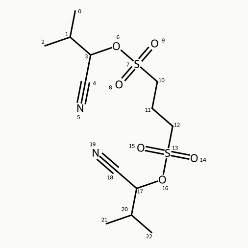 CC(C)C(C#N)OS(=O)(=O)CCCS(=O)(=O)OC(C#N)C(C)C